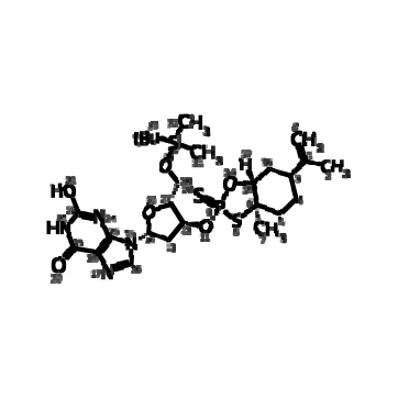 C=C(C)[C@H]1CC[C@@]2(C)S[P@](=S)(O[C@H]3C[C@H](n4cnc5c(=O)[nH]c(O)nc54)O[C@@H]3CO[Si](C)(C)C(C)(C)C)O[C@@H]2C1